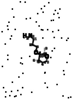 C[C@@H]1OCC[C@H](C)[C@H]1OCCCN